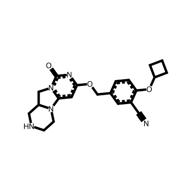 N#Cc1cc(COc2cc3n(c(=O)n2)CC2CNCCN32)ccc1OC1CCC1